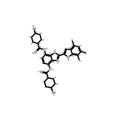 CC(=O)C1CCC(C(=O)Oc2ccc(OC(=O)C3CCC(C(C)=O)CC3)c3sc(-c4cc5c(C)cc(C)c(C)c5o4)nc23)CC1